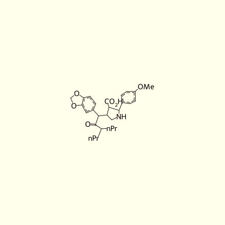 CCCC(CCC)C(=O)C(c1ccc2c(c1)OCO2)C1CNC(c2ccc(OC)cc2)C1C(=O)O